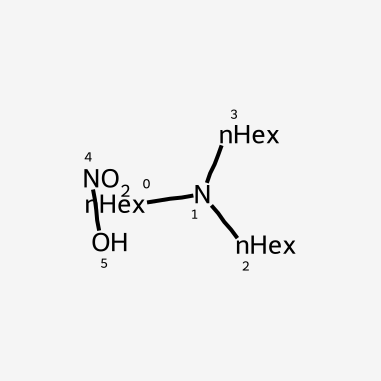 CCCCCCN(CCCCCC)CCCCCC.O=[N+]([O-])O